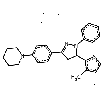 Cc1ccsc1C1CC(c2ccc(N3CCCCC3)cc2)=NN1c1ccccc1